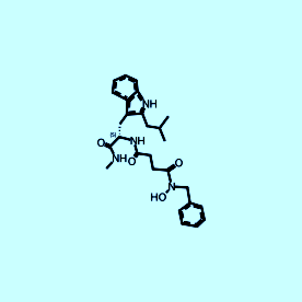 CNC(=O)[C@H](Cc1c(CC(C)C)[nH]c2ccccc12)NC(=O)CCC(=O)N(O)Cc1ccccc1